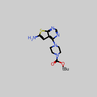 CC(C)(C)OC(=O)N1CCN(c2ncnc3sc(N)cc23)CC1